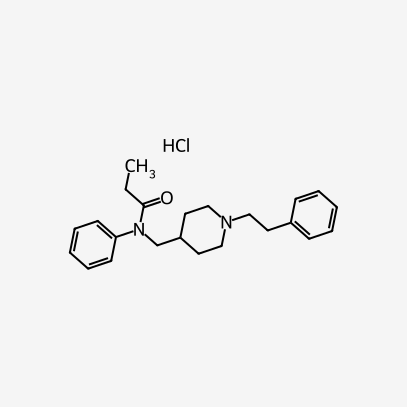 CCC(=O)N(CC1CCN(CCc2ccccc2)CC1)c1ccccc1.Cl